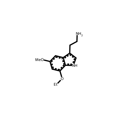 CCOc1cc(OC)cc2c(CCN)c[nH]c12